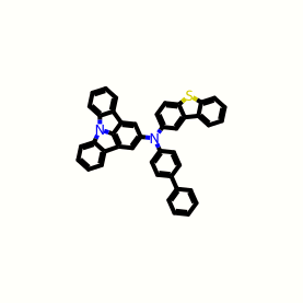 c1ccc(-c2ccc(N(c3ccc4sc5ccccc5c4c3)c3cc4c5ccccc5n5c6ccccc6c(c3)c45)cc2)cc1